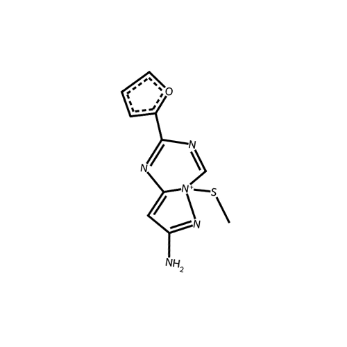 CS[N+]12C=NC(c3ccco3)=NC1=CC(N)=N2